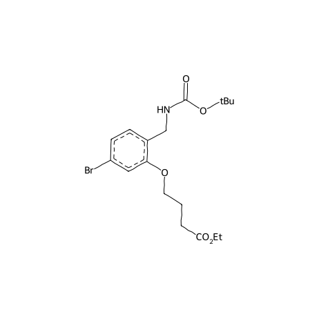 CCOC(=O)CCCOc1cc(Br)ccc1CNC(=O)OC(C)(C)C